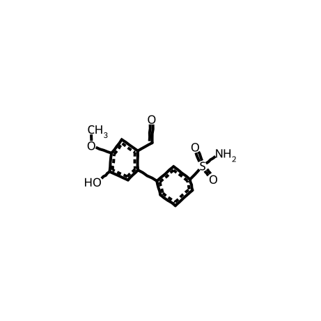 COc1cc(C=O)c(-c2cccc(S(N)(=O)=O)c2)cc1O